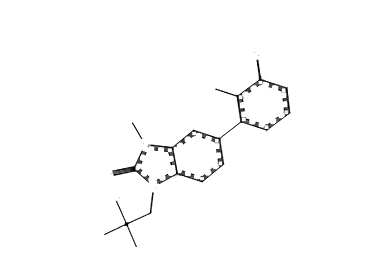 Cn1c(=O)n(CC(C)(C)C)c2ccc(-c3cccc(N)c3F)cc21